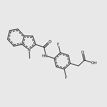 Cn1c(C(=O)Nc2cc(F)c(CC(=O)O)cc2F)cc2ccccc21